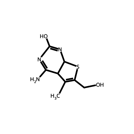 CC1=C(CO)SC2N=C(O)N=C(N)C12